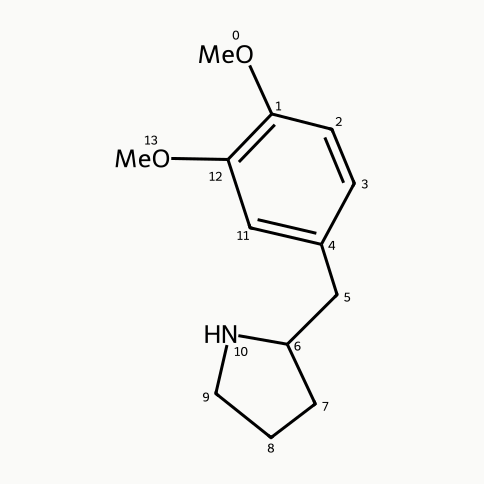 COc1ccc(CC2CCCN2)cc1OC